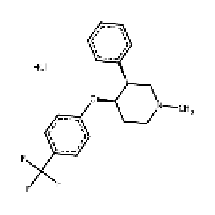 CN1CC[C@@H](Oc2ccc(C(F)(F)F)cc2)[C@@H](c2ccccc2)C1.Cl